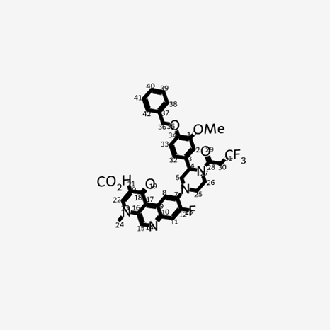 COc1cc(C2CN(c3cc4c(cc3F)ncc3c4c(=O)c(C(=O)O)cn3C)CCN2C(=O)CC(F)(F)F)ccc1OCc1ccccc1